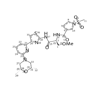 COC[C@H](NC(=O)c1ccn(S(C)(=O)=O)c1)C(=O)Nc1nc(-c2cccc(N3C[C@@H](C)O[C@@H](C)C3)n2)cs1